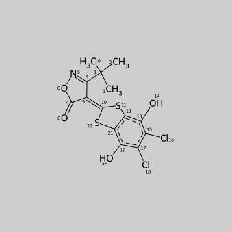 CC(C)(C)C1=NOC(=O)C1=C1Sc2c(O)c(Cl)c(Cl)c(O)c2S1